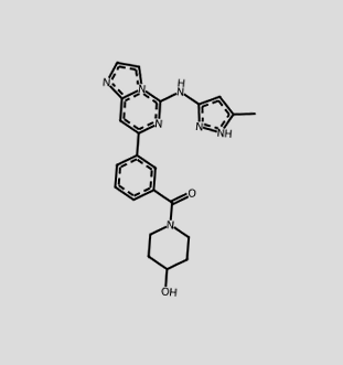 Cc1cc(Nc2nc(-c3cccc(C(=O)N4CCC(O)CC4)c3)cc3nccn23)n[nH]1